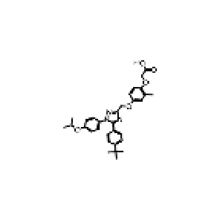 Cc1cc(OCc2nc(-c3ccc(C(C)(C)C)cc3)n(-c3ccc(OC(C)C)cc3)n2)ccc1OCC(=O)O